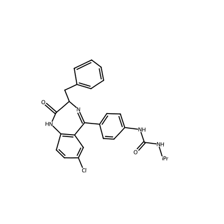 CC(C)NC(=O)Nc1ccc(C2=NC(Cc3ccccc3)C(=O)Nc3ccc(Cl)cc32)cc1